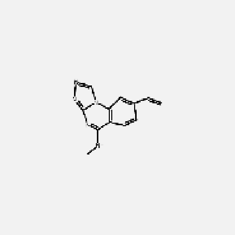 C=Cc1ccc2c(NC)nc3nncn3c2c1